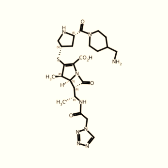 C[C@@H](NC(=O)Cn1cnnn1)[C@H]1C(=O)N2C(C(=O)O)=C(S[C@@H]3CN[C@H](C(=O)N4CCC(CN)CC4)C3)[C@H](C)[C@H]12